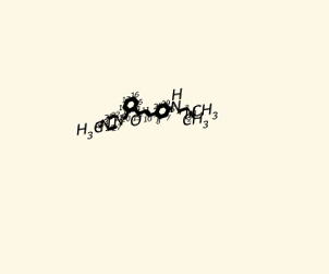 CN(C)CCNc1ccc(C=CC(=O)c2ccccc2CN2CCN(C)CC2)cc1